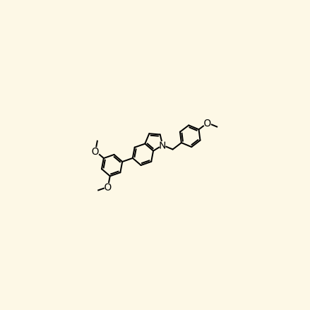 COc1ccc(Cn2ccc3cc(-c4cc(OC)cc(OC)c4)ccc32)cc1